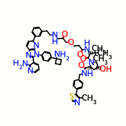 Cc1ncsc1-c1ccc(CNC(=O)[C@@H]2C[C@@H](O)CN2C(=O)[C@@H](NC(=O)CCOCC(=O)CNCCc2cccc(-c3ccc4nc(-c5cccnc5N)n(-c5ccc(C6(N)CCC6)cc5)c4n3)c2)C(C)(C)C)cc1